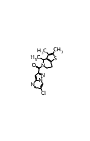 Cc1sc2c(c1C)C(C)N(C(=O)c1cc3ncc(Cl)cn3n1)CC2